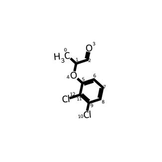 CC(C=O)Oc1cccc(Cl)c1Cl